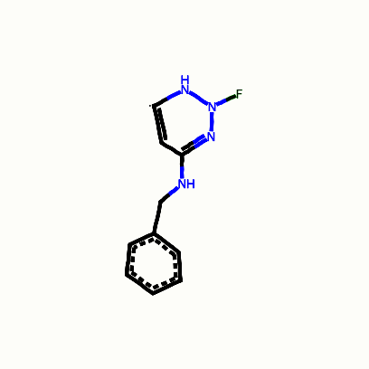 FN1N=C(NCc2ccccc2)C=[C]N1